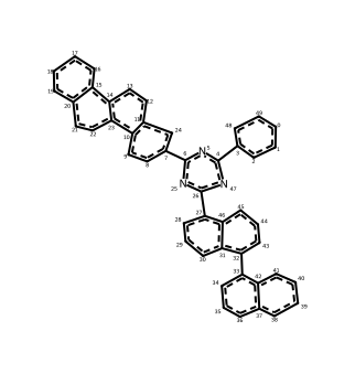 c1ccc(-c2nc(-c3ccc4c(ccc5c6ccccc6ccc45)c3)nc(-c3cccc4c(-c5cccc6ccccc56)cccc34)n2)cc1